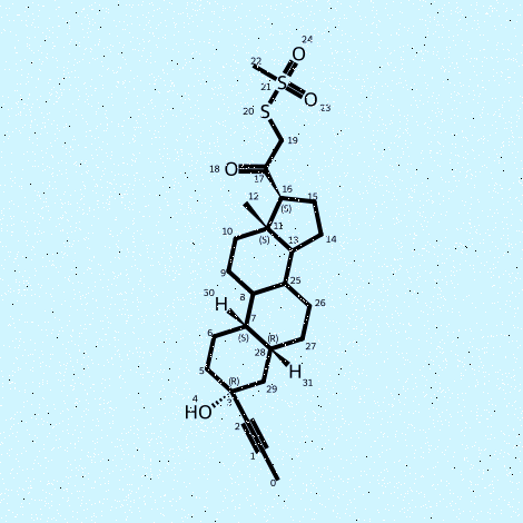 CC#C[C@@]1(O)CC[C@@H]2C3CC[C@@]4(C)C(CC[C@@H]4C(=O)CSS(C)(=O)=O)C3CC[C@@H]2C1